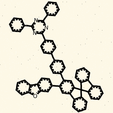 c1ccc(-c2nc(-c3ccccc3)nc(-c3ccc(-c4ccc(-c5cc6c(cc5-c5ccc7c(c5)oc5ccccc57)-c5ccccc5C65c6ccccc6-c6ccccc65)cc4)cc3)n2)cc1